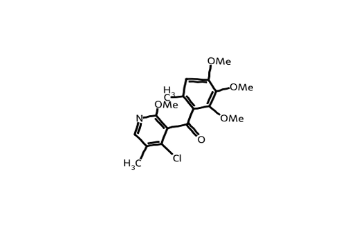 COc1cc(C)c(C(=O)c2c(OC)ncc(C)c2Cl)c(OC)c1OC